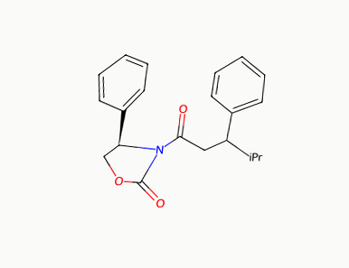 CC(C)C(CC(=O)N1C(=O)OC[C@H]1c1ccccc1)c1ccccc1